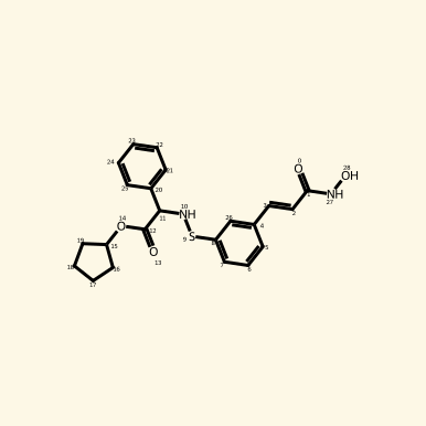 O=C(/C=C/c1cccc(SNC(C(=O)OC2CCCC2)c2ccccc2)c1)NO